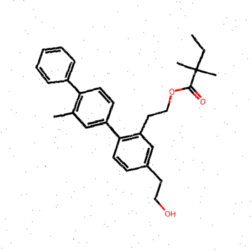 CCC(C)(C)C(=O)OCCc1cc(CCO)ccc1-c1ccc(-c2ccccc2)c(C)c1